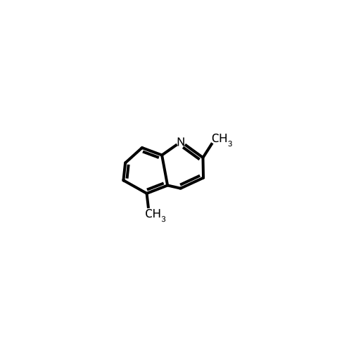 Cc1ccc2c(C)cccc2n1